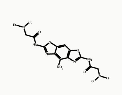 CCN(CC)CC(=O)Nc1nc2c([N+](=O)[O-])c3nc(NC(=O)CN(CC)CC)sc3cc2s1